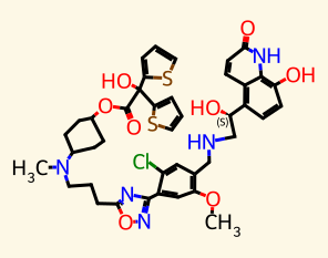 COc1cc(-c2noc(CCCN(C)C3CCC(OC(=O)C(O)(c4cccs4)c4cccs4)CC3)n2)c(Cl)cc1CNC[C@@H](O)c1ccc(O)c2[nH]c(=O)ccc12